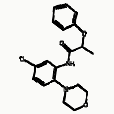 CC(Oc1ccccc1)C(=O)Nc1cc(Cl)ccc1N1CCOCC1